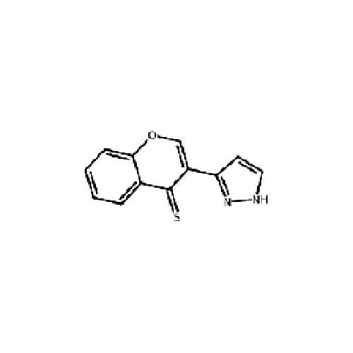 S=c1c(-c2cc[nH]n2)coc2ccccc12